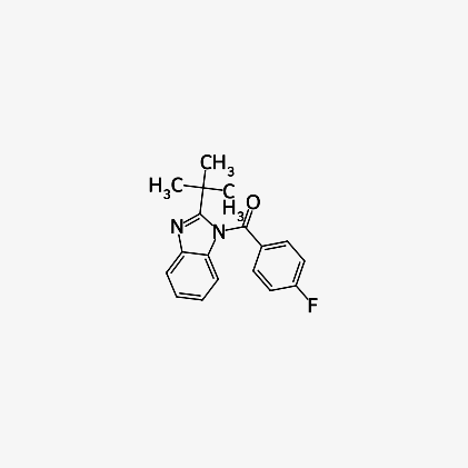 CC(C)(C)c1nc2ccccc2n1C(=O)c1ccc(F)cc1